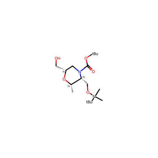 C[C@@H]1O[C@H](CO)CN(C(=O)OC(C)(C)C)[C@@H]1CO[Si](C)(C)C(C)(C)C